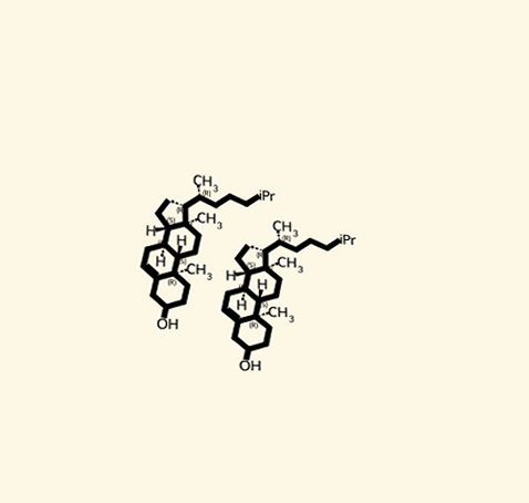 CC(C)CCC[C@@H](C)[C@H]1CC[C@H]2[C@@H]3CC=C4CC(O)CC[C@]4(C)[C@H]3CC[C@]12C.CC(C)CCC[C@@H](C)[C@H]1CC[C@H]2[C@@H]3CC=C4CC(O)CC[C@]4(C)[C@H]3CC[C@]12C